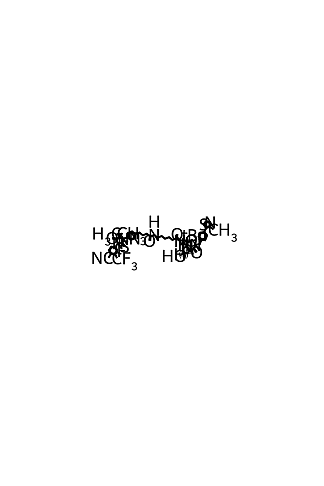 Cc1ncsc1-c1ccc(CNC(=O)[C@@H]2C[C@@H](O)CN2C(=O)[C@@H](NC(=O)CCCCCNC(=O)CCCc2ccc(N3C(=S)N(c4ccc(C#N)c(C(F)(F)F)c4F)C(=O)C3(C)C)cn2)C(C)(C)C)cc1